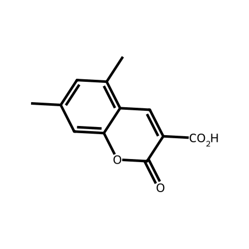 Cc1cc(C)c2cc(C(=O)O)c(=O)oc2c1